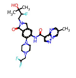 Cc1cnc2c(C(=O)Nc3cc4c(cc3N3CCN(CC(F)F)CC3)C(=O)N(CC(F)C(C)(C)O)C4)cnn2c1